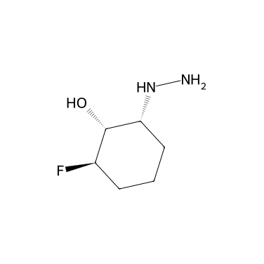 NN[C@@H]1CCC[C@@H](F)[C@@H]1O